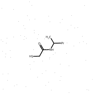 CC(C)C(C)NC(=O)CS